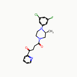 C[C@H]1CN(C(=O)CCC(=O)c2ccccn2)CCN1c1cc(F)cc(Cl)c1